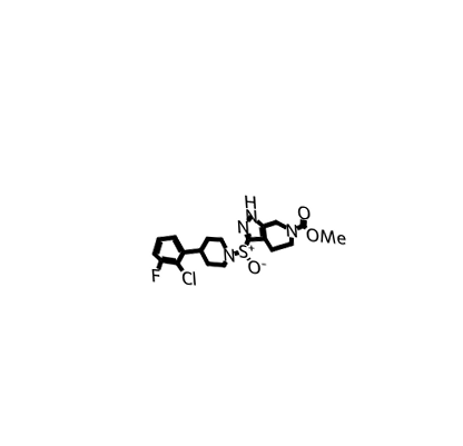 COC(=O)N1CCc2c([S+]([O-])N3CCC(c4cccc(F)c4Cl)CC3)n[nH]c2C1